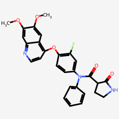 COc1cc2nccc(Oc3ccc(N(C(=O)C4CCNC4=O)c4ccccc4)cc3F)c2cc1OC